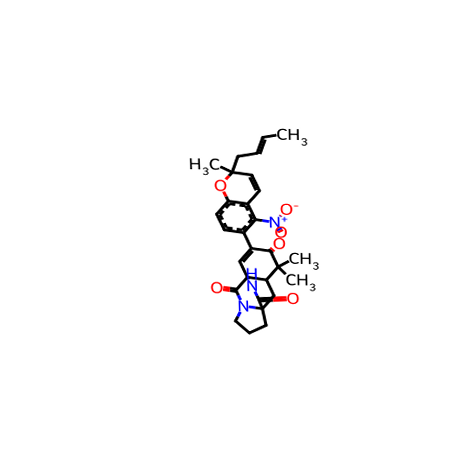 C/C=C/CC1(C)C=Cc2c(ccc(C3=CC45NC(=O)C6(CCCN6C4=O)CC5C(C)(C)C3=O)c2[N+](=O)[O-])O1